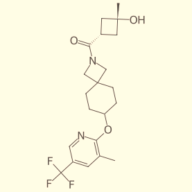 Cc1cc(C(F)(F)F)cnc1OC1CCC2(CC1)CN(C(=O)[C@H]1C[C@@](C)(O)C1)C2